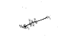 CCCCCCCCCCCCCC(=O)NCCNC(=O)CCC(=O)NCCCCCC[N+](C)(C)O